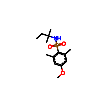 CCC(C)(C)NS(=O)(=O)c1c(C)cc(OC)cc1C